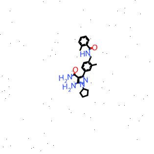 Cc1cc(-c2nn(C3CCCC3)c(N)c2C(N)=O)ccc1CNC(=O)c1ccccc1C